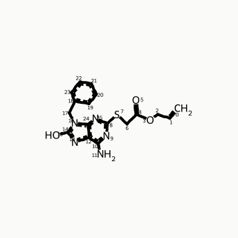 C=CCOC(=O)CSc1nc(N)c2nc(O)n(Cc3ccccc3)c2n1